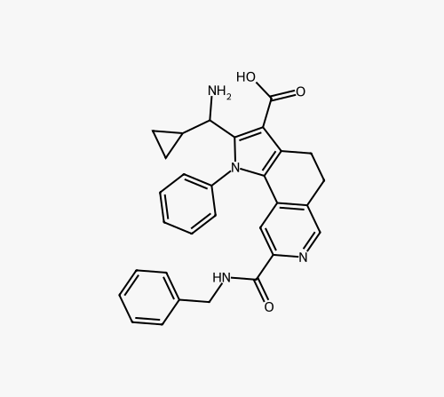 NC(c1c(C(=O)O)c2c(n1-c1ccccc1)-c1cc(C(=O)NCc3ccccc3)ncc1CC2)C1CC1